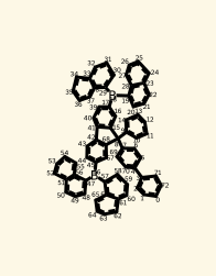 c1ccc(-c2ccc(C3(c4ccccc4)c4cc(B(c5cccc6ccccc56)c5cccc6ccccc56)ccc4-c4ccc(B(c5cccc6ccccc56)c5cccc6ccccc56)cc43)cc2)cc1